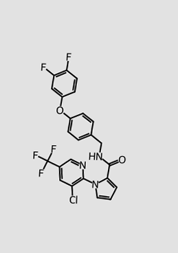 O=C(NCc1ccc(Oc2ccc(F)c(F)c2)cc1)c1cccn1-c1ncc(C(F)(F)F)cc1Cl